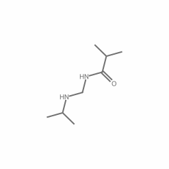 CC(C)NCNC(=O)C(C)C